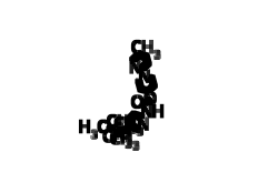 Cc1ccc(N2CCC(OC(=O)Nc3ccc(O[Si](C)(C)C(C)(C)C)cn3)CC2)nc1